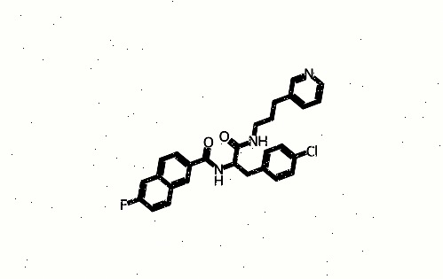 O=C(NC(Cc1ccc(Cl)cc1)C(=O)NCCCc1cccnc1)c1ccc2cc(F)ccc2c1